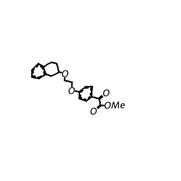 COC(=O)C(=O)c1ccc(OCCOC2CCc3ccccc3C2)cc1